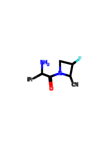 CC(C)C(N)C(=O)N1CC(F)C1C#N